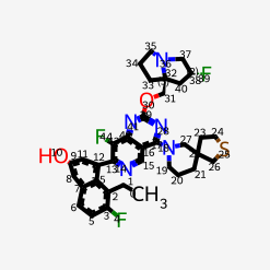 CCc1c(F)ccc2cc(O)cc(-c3ncc4c(N5CCCC6(CCSC6)C5)nc(OC[C@@]56CCCN5C[C@H](F)C6)nc4c3F)c12